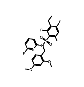 CCc1c(F)cc(F)c(S(=O)(=O)N(Cc2ccc(OC)cc2OC)c2cccc(F)n2)c1F